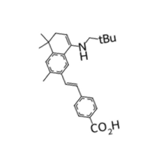 Cc1cc2c(cc1C=Cc1ccc(C(=O)O)cc1)C(NCC(C)(C)C)=CCC2(C)C